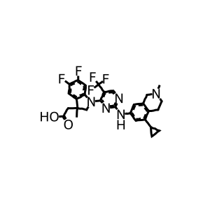 CN1CCc2c(cc(Nc3ncc(C(F)(F)F)c(N4CC(C)(CC(=O)O)c5cc(F)c(F)cc54)n3)cc2C2CC2)C1